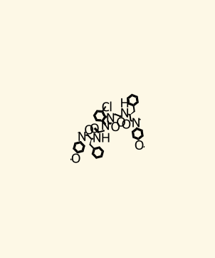 COc1ccc(N(C)C(=O)[C@H](Cc2ccccc2)NC(=O)Cn2c(=O)n(CC(=O)N[C@@H](Cc3ccccc3)C(=O)N(C)c3ccc(OC)cc3)c3c(Cl)cccc32)cc1